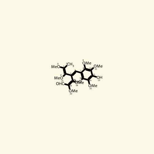 CO/C(C)=C(OC)/C(=C/c1c(OC)c(OC)c(O)c(OC)c1OC)C(/OC)=C(\C=O)OC